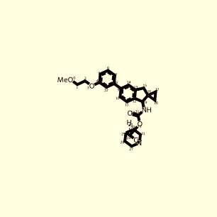 COCCOc1cccc(-c2ccc3c(c2)CC2(CC2)C3NC(=O)O[C@H]2CN3CCC2CC3)c1